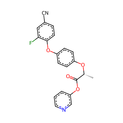 C[C@@H](Oc1ccc(Oc2ccc(C#N)cc2F)cc1)C(=O)Oc1cccnc1